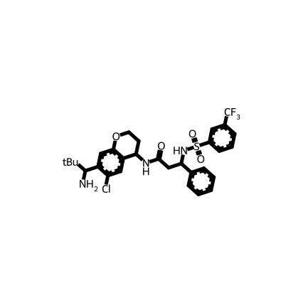 CC(C)(C)C(N)c1cc2c(cc1Cl)C(NC(=O)CC(NS(=O)(=O)c1cccc(C(F)(F)F)c1)c1ccccc1)CCO2